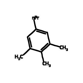 [CH2]CCc1cc(C)c(C)c(C)c1